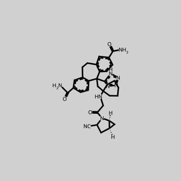 N#CC1C[C@@H]2C[C@@H]2N1C(=O)CNC1(CC2(c3nnn[nH]3)c3ccc(C(N)=O)cc3CCc3cc(C(N)=O)ccc32)CCCCC1